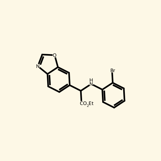 CCOC(=O)C(Nc1ccccc1Br)c1ccc2ncoc2c1